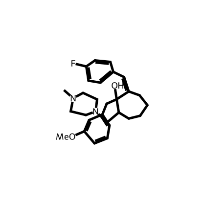 COc1cccc(CC2(O)/C(=C\c3ccc(F)cc3)CCCCC2CN2CCN(C)CC2)c1